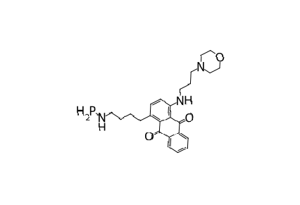 O=C1c2ccccc2C(=O)c2c(NCCCN3CCOCC3)ccc(CCCCNP)c21